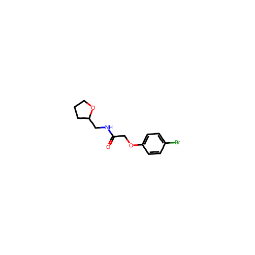 O=C(COc1ccc(Br)cc1)NCC1CCCO1